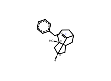 O[C@@]12CCCC3CC1C[C@H](C2)/C3=N\Cc1ccccc1